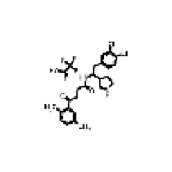 Cc1ccc(C)c(C(=O)CCC(=O)NC(Cc2ccc(Cl)c(Cl)c2)C2CCNC2)c1.O=C(O)C(F)(F)F